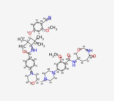 COc1cc(O[C@H]2C(C)(C)[C@H](NC(=O)c3ccc(N4CCO[C@@H](CN5CCN(c6ccc(C(=O)NC7CCC(=O)NCOC7)c(OC)c6)CC5)C4)cc3)C2(C)C)ccc1C#N